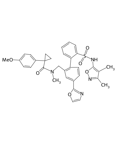 COc1ccc(C2(C(=O)N(C)Cc3cc(-c4ncco4)ccc3-c3ccccc3S(=O)(=O)Nc3onc(C)c3C)CC2)cc1